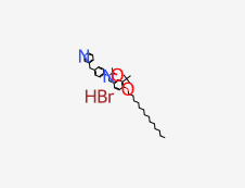 Br.CCCCCCCCCCCCCCOc1ccc(CN(C(C)=O)c2ccc(Cc3cccnc3)cc2)cc1C(C)(C)C